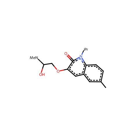 CNC(O)COc1cc2cc(C)ccc2n(C(C)C)c1=O